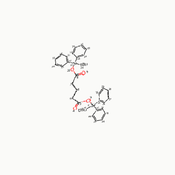 CC(C)(C)[Si](OC(=O)CCCC(=O)O[Si](c1ccccc1)(c1ccccc1)C(C)(C)C)(c1ccccc1)c1ccccc1